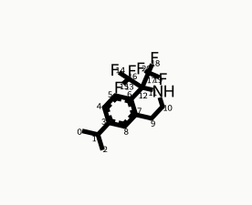 CC(C)c1ccc2c(c1)CCNC2(C(F)(F)F)C(F)(F)F